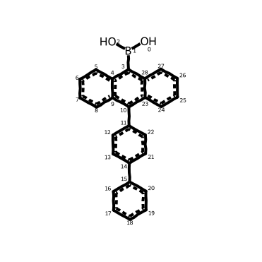 OB(O)c1c2ccccc2c(-c2ccc(-c3ccccc3)cc2)c2ccccc12